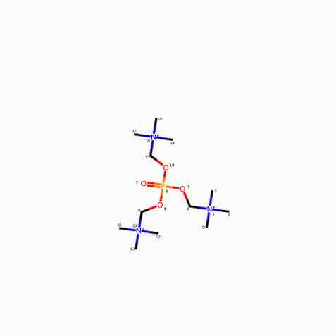 C[N+](C)(C)COP(=O)(OC[N+](C)(C)C)OC[N+](C)(C)C